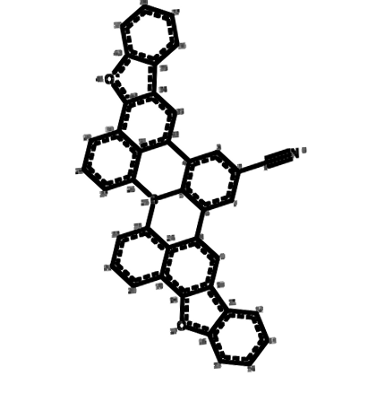 N#Cc1cc2c3c(c1)-c1cc4c5ccccc5oc4c4cccc(c14)B3c1cccc3c1c-2cc1c2ccccc2oc31